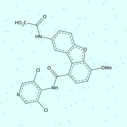 COc1ccc(C(=O)Nc2c(Cl)cncc2Cl)c2c1oc1ccc(NC(=O)C(=O)O)cc12